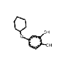 Oc1ccc(OC2CCCCC2)cc1O